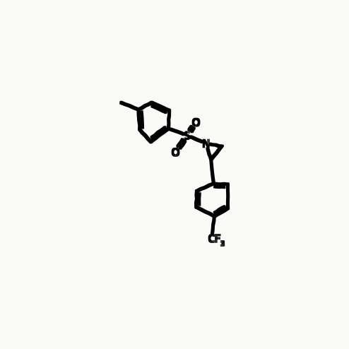 Cc1ccc(S(=O)(=O)N2CC2c2ccc(C(F)(F)F)cc2)cc1